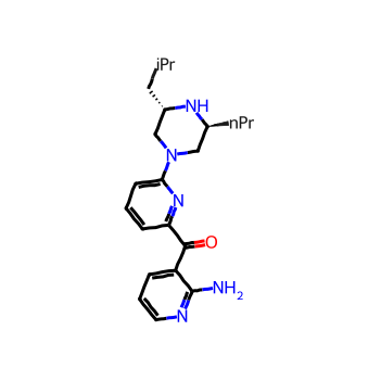 CCC[C@H]1CN(c2cccc(C(=O)c3cccnc3N)n2)C[C@H](CC(C)C)N1